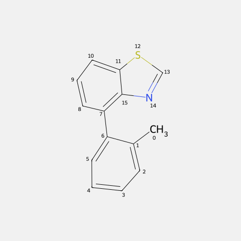 Cc1ccccc1-c1cccc2scnc12